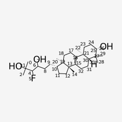 CC(C)(O)C(F)C(O)CC[C@H]1CC[C@@]2(C)C3=C(CC[C@]12C)[C@@]1(C)CC[C@H](O)C(C)(C)[C@@H]1CC3